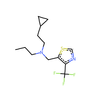 CCCN(CCC1CC1)Cc1s[c]nc1C(F)(F)F